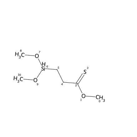 COC(=S)CC[SiH](OC)OC